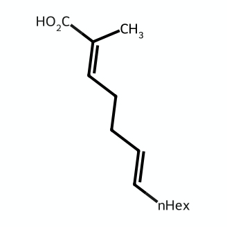 CCCCCCC=CCCC=C(C)C(=O)O